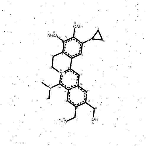 COc1c(C2CC2)cc2c(c1OC)CC[n+]1c-2cc2cc(CO)c(CO)cc2c1N(C)C